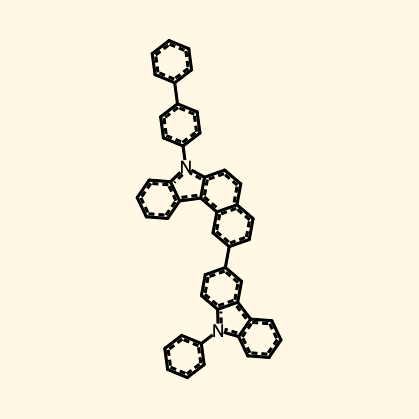 c1ccc(-c2ccc(-n3c4ccccc4c4c5cc(-c6ccc7c(c6)c6ccccc6n7-c6ccccc6)ccc5ccc43)cc2)cc1